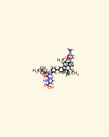 COC(C)c1ncc(N2CCN(C3CC3)CC2)cc1-c1c(CC(C)(C)CO)c2cc(-c3cccc(CC(NC(=O)OC(C)(C)C)C(=O)N4CCC[C@@H](C(=O)O)N4)c3)ccc2n1CC(F)(F)F